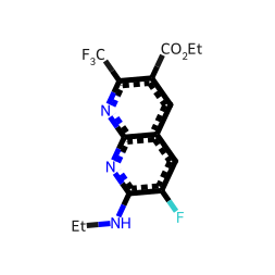 CCNc1nc2nc(C(F)(F)F)c(C(=O)OCC)cc2cc1F